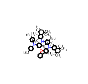 Cc1cc2c(cc1N1c3cc(N(c4ccc(C(C)(C)C)cc4)c4ccc(C(C)(C)C)cc4)ccc3B3c4c1cc(C(C)(C)C)cc4N(c1cc4c(cc1C)C(C)(C)CCC4(C)C)c1ccc4c(oc5ccccc54)c13)C(C)(C)CCC2(C)C